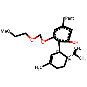 C=C(C)[C@@H]1CCC(C)=C[C@H]1c1c(O)cc(CCCCC)cc1OCOCCOC